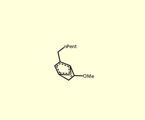 CCCCCCc1cc2sc1C(OC)C2